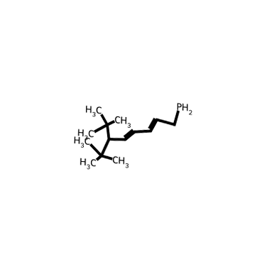 CC(C)(C)C(C=CC=CCP)C(C)(C)C